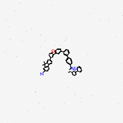 CCC1C=CC=C(c2ccccc2)[C@H]1NC(C)c1ccc(-c2cccc(-c3ccc4oc5ccc(-c6ccc7c(c6)C(C)(C)c6cc(C#N)ccc6-7)cc5c4c3)c2)cc1